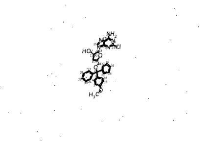 COc1ccc(C(OC[C@@H]2C[C@@H](O)[C@H](n3cnc4c(N)nc(Cl)nc43)O2)(c2ccccc2)c2ccccc2)cc1